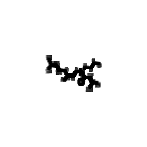 CCCCN(C/C=C(/C)CCC=C(C)C)C(=O)C=C(C)C